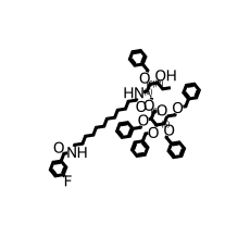 CC[C@@H](O)[C@@H](OCc1ccccc1)[C@H](CO[C@H]1OC(COCc2ccccc2)[C@H](OCc2ccccc2)C(OCc2ccccc2)C1OCc1ccccc1)NC(=O)CCCCCCCCCCCNC(=O)c1cccc(F)c1